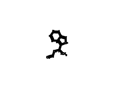 CC(O[C]=O)c1occ2ccccc12